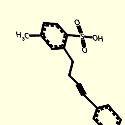 Cc1ccc(S(=O)(=O)O)c(CCC#Cc2ccccc2)c1